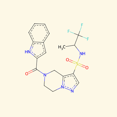 CC(NS(=O)(=O)c1cnn2c1CN(C(=O)c1cc3ccccc3[nH]1)CC2)C(F)(F)F